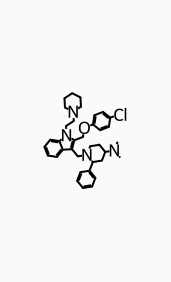 CN(C)C1CCN(Cc2c(COc3ccc(Cl)cc3)n(CCN3CCCCC3)c3ccccc23)C(c2ccccc2)C1